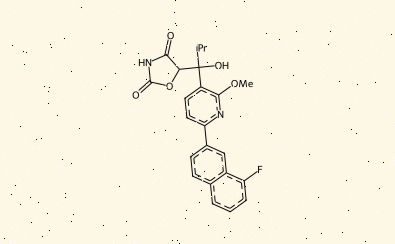 COc1nc(-c2ccc3cccc(F)c3c2)ccc1C(O)(C(C)C)C1OC(=O)NC1=O